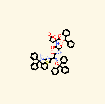 O=C1CCC(C(=O)OC(c2ccccc2)c2ccccc2)(N2OC[C@H](NC(=O)C(=NOC(c3ccccc3)(c3ccccc3)c3ccccc3)c3csc(NC(c4ccccc4)(c4ccccc4)c4ccccc4)n3)C2=O)O1